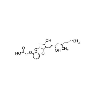 C=C(CCCC)CC(O)C=CC1C(O)CC2Oc3c(OCC(=O)O)cccc3OC21